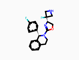 Fc1ccc([C@H]2c3ccccc3CCN2C2=N[C@H](C3(F)CNC3)CO2)cc1